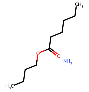 CCCCCC(=O)OCCCC.N